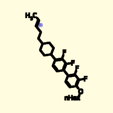 C/C=C/CCC1CCC(c2ccc(-c3ccc(OCCCCCC)c(F)c3F)c(F)c2F)CC1